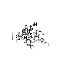 COc1ccc(C2SC(N(CCC#N)C(C)=O)C(=O)N(CC(C)(C)C)c3ccc(Cl)cc32)c(OC)c1